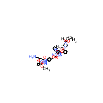 CCOC(=O)C1(C(=O)N[C@@H](CCCCN)C(=O)Nc2ccc(COC(=O)Nc3nnc(-c4ccccc4O)cc3N3CC4CCC(C3)N4c3ccnc(OCCN4CCN(C(=O)OC(C)(C)C)C[C@H]4C)c3)cc2)CCC1